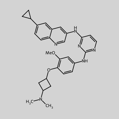 COc1cc(Nc2nccc(Nc3cnc4ccc(C5CC5)cc4c3)n2)ccc1OC1CC(N(C)C)C1